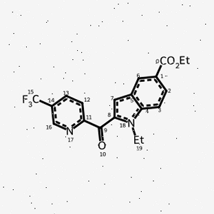 CCOC(=O)c1ccc2c(c1)cc(C(=O)c1ccc(C(F)(F)F)cn1)n2CC